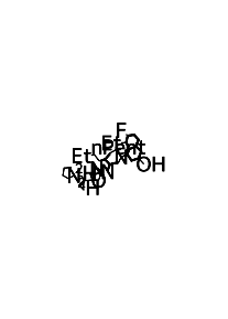 [2H]C([2H])(Oc1nc(C(CC)CCCCC)c2c(n1)=CN(c1cc(O)cc3ccc(F)c(CC)c13)CC=2)C1(CN2CCCC2)CC1